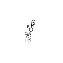 O=C1OC(CO)CN1c1ccc(N2CC3CCC(C2)O3)c(F)c1